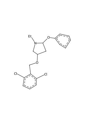 CCN1CC(OCc2c(Cl)cccc2Cl)CC1Oc1ccccc1